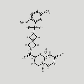 COc1ncc(C(F)(F)F)cc1C(F)(F)C1CC2(C1)CN(C(=O)N1CC[C@@H]3OCC(=O)N[C@@H]3C1)C2